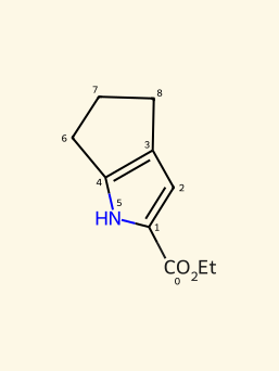 CCOC(=O)c1cc2c([nH]1)CCC2